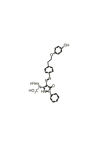 CCCCCCN(C(=O)O)c1[nH]n(-c2ccccc2)c(=O)c1N=Nc1ccc(CCOc2ccc(O)cc2)cc1